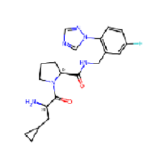 N[C@H](CC1CC1)C(=O)N1CCC[C@H]1C(=O)NCc1cc(F)ccc1-n1cncn1